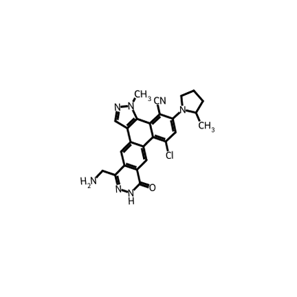 CC1CCCN1c1cc(Cl)c2c3cc4c(=O)[nH]nc(CN)c4cc3c3cnn(C)c3c2c1C#N